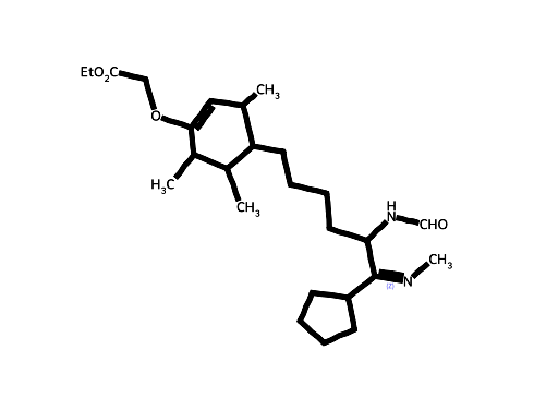 CCOC(=O)COC1=CC(C)C(CCCCC(NC=O)/C(=N\C)C2CCCC2)C(C)C1C